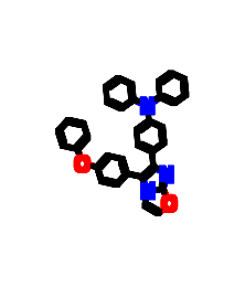 c1ccc(Oc2ccc(-c3c(-c4ccc(N(c5ccccc5)c5ccccc5)cc4)nc4occn34)cc2)cc1